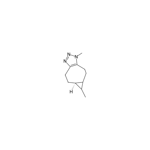 CC1C2CCc3c(nnn3C)CC[C@H]12